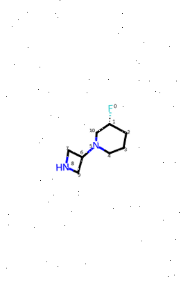 F[C@@H]1CCCN(C2CNC2)C1